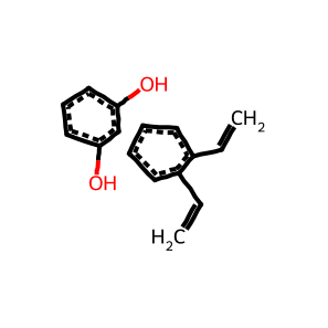 C=Cc1ccccc1C=C.Oc1cccc(O)c1